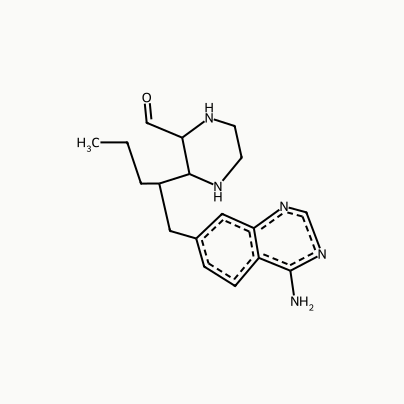 CCCC(Cc1ccc2c(N)ncnc2c1)C1NCCNC1C=O